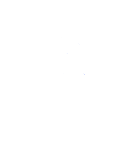 COc1cnc2ccc(Nc3ccc(OCc4ccc(F)cc4)c(OC)c3)c(C#N)c2n1